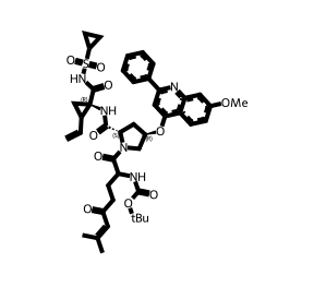 C=CC1C[C@]1(NC(=O)[C@@H]1C[C@@H](Oc2cc(-c3ccccc3)nc3cc(OC)ccc23)CN1C(=O)C(CCC(=O)C=C(C)C)NC(=O)OC(C)(C)C)C(=O)NS(=O)(=O)C1CC1